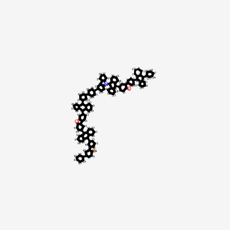 C1=Cc2c(c(-c3ccc4c(c3)oc3ccc(-c5c6ccccc6c(-n6c7ccccc7c7cc(-c8ccc(-c9cccc(-c%10c%11ccccc%11c(-c%11ccc%12c(c%11)oc%11ccc(-c%13c%14ccccc%14c(-c%14ccc%15sc%16ccc(-c%17ccccc%17)cc%16c%15c%14)c%14ccccc%13%14)cc%11%12)c%11ccccc%10%11)c9)cc8)ccc76)c6ccccc56)cc34)c3ccccc3c2-c2ccccc2)CC1